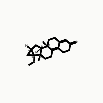 CO[C@@]12C[C@@H]1C[C@H]1[C@@H]3CCC4=CC(=O)CCC4=C3CC[C@@]12C